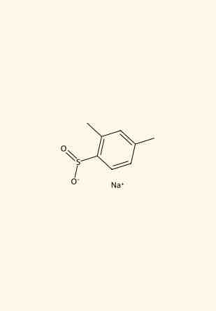 Cc1ccc(S(=O)[O-])c(C)c1.[Na+]